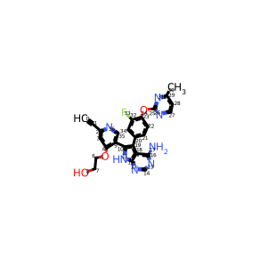 C#Cc1cc(OCCO)c(-c2[nH]c3ncnc(N)c3c2-c2ccc(Oc3nccc(C)n3)c(F)c2)cn1